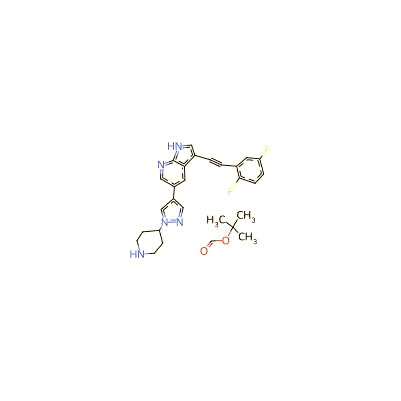 CC(C)(C)OC=O.Fc1ccc(F)c(C#Cc2c[nH]c3ncc(-c4cnn(C5CCNCC5)c4)cc23)c1